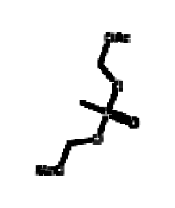 COCOP(C)(=O)OCOC(C)=O